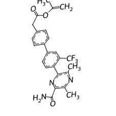 C=C(C)OC(=O)Cc1ccc(-c2ccc(-c3nc(C(N)=O)c(C)nc3C)c(C(F)(F)F)c2)cc1